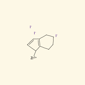 [I-].[I-].[I-].[Zr+3][CH]1C=CC2=C1CCCC2